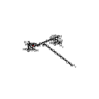 CC(=O)N[C@H]1[C@H]([C@H](OCC(=O)NCCOCCN(CCOCCNC(=O)CO[C@@H]([C@@H]2OC(C(=O)O)=C[C@H](NC(=N)N)[C@H]2C)[C@H](O)CO)C(=O)CCOCCOCCOCCOCCOCCOCCOCCOCCON)[C@H](O)CO)OC(C(=O)O)=C[C@@H]1NC(=N)N